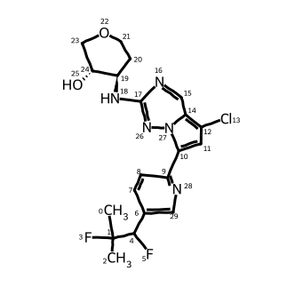 CC(C)(F)C(F)c1ccc(-c2cc(Cl)c3cnc(N[C@@H]4CCOC[C@H]4O)nn23)nc1